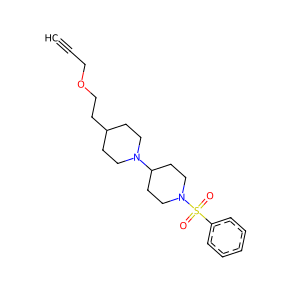 C#CCOCCC1CCN(C2CCN(S(=O)(=O)c3ccccc3)CC2)CC1